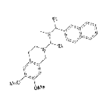 CCC(c1ccc2ccccc2c1)N(C)C(CC)N1CCc2cc(OC)c(OC)cc2C1